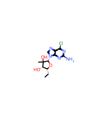 CC[C@H]1O[C@@H](n2cnc3c(Cl)nc(N)nc32)C(C)(O)[C@H]1O